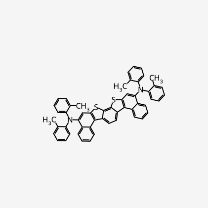 Cc1ccccc1N(c1ccccc1C)c1cc2sc3c(ccc4c3sc3cc(N(c5ccccc5C)c5ccccc5C)c5ccccc5c34)c2c2ccccc12